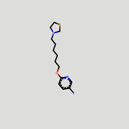 Ic1ccc(OCCCCCCN2CCSC2)nc1